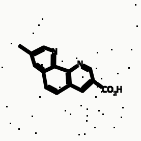 Cc1cnc2c(ccc3cc(C(=O)O)cnc32)c1